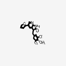 O=C1Nc2ncc(-c3ccco3)cc2C1=Cc1cc(Cl)c(O)c(Cl)c1